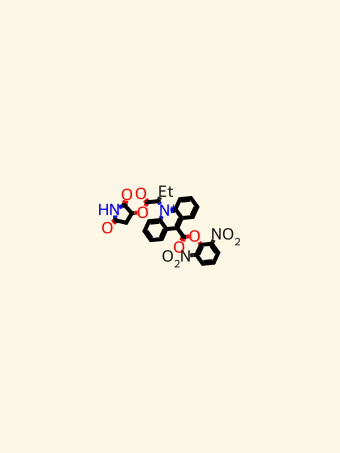 CCC(C(=O)OC1CC(=O)NC1=O)[n+]1c2ccccc2c(C(=O)Oc2c([N+](=O)[O-])cccc2[N+](=O)[O-])c2ccccc21